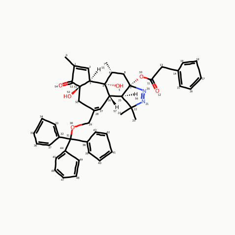 CC1=C[C@H]2[C@@]3(O)[C@H](C)C[C@@]4(OC(=O)Cc5ccccc5)N=NC(C)(C)[C@H]4[C@@H]3C=C(COC(c3ccccc3)(c3ccccc3)c3ccccc3)C[C@]2(O)C1=O